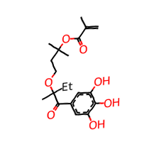 C=C(C)C(=O)OC(C)(C)CCOC(C)(CC)C(=O)c1cc(O)c(O)c(O)c1